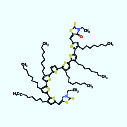 CCCCCCCCc1cc(/C=C2\CN(CC)C(=S)S2)sc1-c1cc(CCCCCCCC)c(-c2cc(CCCCCCCC)c(-c3ccc(-c4sc(-c5sc(-c6sc(/C=C7/SC(=S)N(CC)C7=O)cc6CCCCCCCC)cc5CCCCCCCC)cc4CCCCCCCC)s3)s2)s1